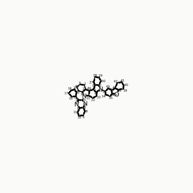 C1=Cc2c(n(-c3nc4ccccc4nc3-c3ccccc3)c3ccc4c(c5ccccc5n4-c4ccc5oc6ccccc6c5c4)c23)CC1